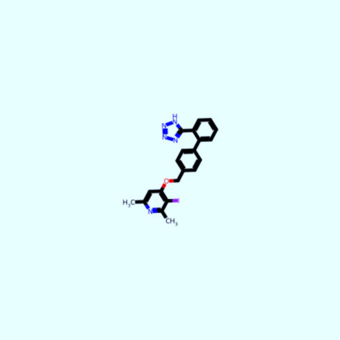 Cc1cc(OCc2ccc(-c3ccccc3-c3nnn[nH]3)cc2)c(I)c(C)n1